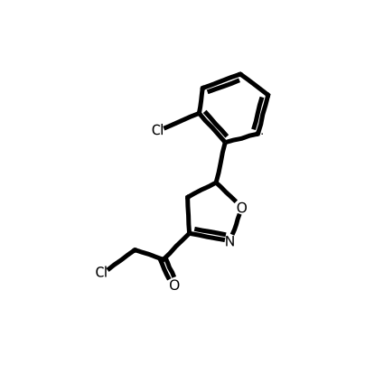 O=C(CCl)C1=NOC(c2[c]cccc2Cl)C1